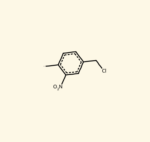 [CH2]c1ccc(CCl)cc1[N+](=O)[O-]